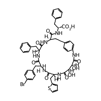 O=C(O)[C@H](Cc1ccccc1)NC(=O)[C@H]1Cc2ccc(cc2)NC(=O)[C@H](O)[C@@H](O)C(=O)N[C@H](Cc2cccs2)C(=O)N[C@@H](Cc2ccc(Br)cc2)C(=O)N[C@H](Cc2ccccc2)C(=O)N1